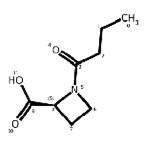 CCCC(=O)N1CC[C@H]1C(=O)O